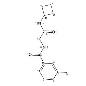 Cc1cccc(C(=O)NCC(=O)NC2CCC2)c1